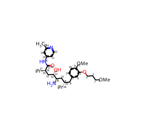 COCCCOc1cc(C[C@@H](C[C@H](N)[C@@H](O)C[C@H](C(=O)Nc2ccnc(C)c2)C(C)C)C(C)C)ccc1OC